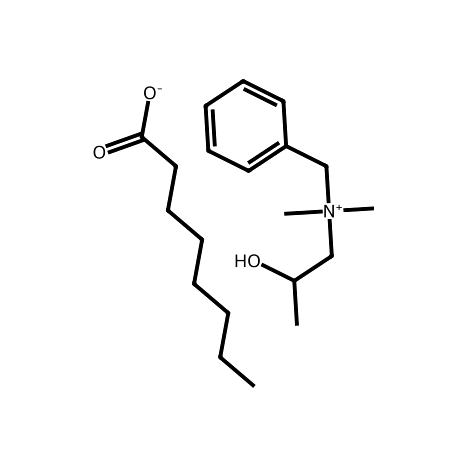 CC(O)C[N+](C)(C)Cc1ccccc1.CCCCCCCC(=O)[O-]